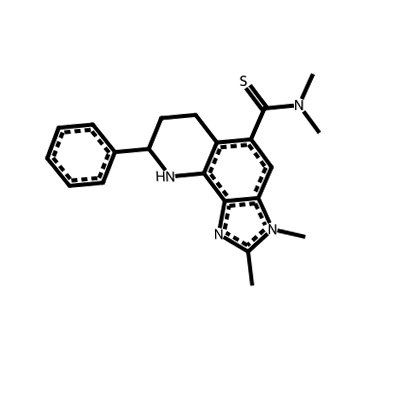 Cc1nc2c3c(c(C(=S)N(C)C)cc2n1C)CCC(c1ccccc1)N3